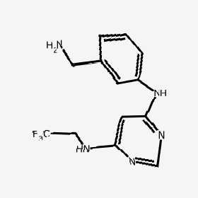 NCc1cccc(Nc2cc(NCC(F)(F)F)ncn2)c1